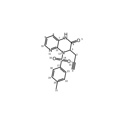 C#CCC1C(=O)Nc2cccnc2N1S(=O)(=O)c1ccc(C)cc1